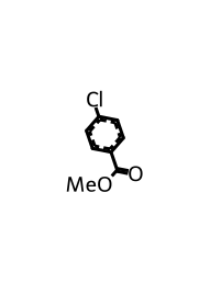 [CH2-][OH+]C(=O)c1ccc(Cl)cc1